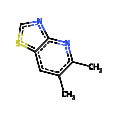 Cc1cc2scnc2nc1C